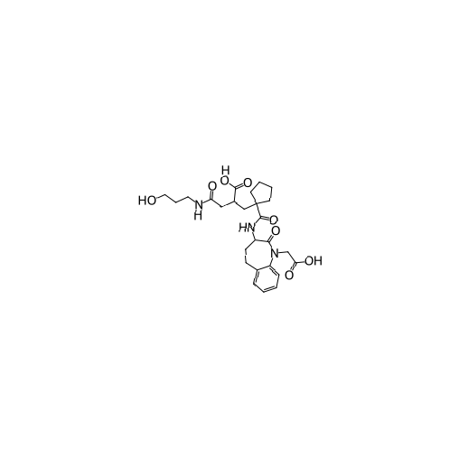 O=C(O)CN1C(=O)C(NC(=O)C2(CC(CC(=O)NCCCO)C(=O)O)CCCC2)CCc2ccccc21